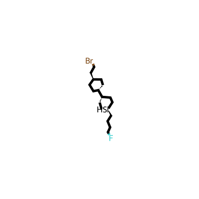 FCCCC[Si@H]1CC[C@H]([C@H]2CC[C@H](CCBr)CC2)CC1